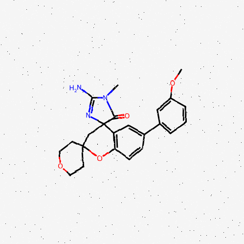 COc1cccc(-c2ccc3c(c2)C2(CC4(CCOCC4)O3)N=C(N)N(C)C2=O)c1